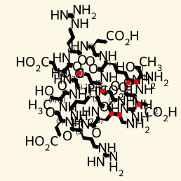 CC(C)[C@H](NC(=O)[C@@H](NC(=O)[C@H](CCC(=O)O)NC(=O)[C@H](CCCNC(=N)N)NC(=O)[C@H](CCCNC(=N)N)NC(=O)[C@H](CCCCN)NC(=O)[C@H](CCCCN)NC(=O)[C@H](CCC(=O)O)NC(=O)[C@@H](N)[C@@H](C)O)[C@@H](C)O)C(=O)N[C@@H](CCC(=O)O)C(=O)N[C@@H](CCCNC(=N)N)C(=O)N[C@@H](CCC(=O)O)C(=O)N[C@@H](CCCCN)C(=O)N[C@@H](CCC(=O)O)C(=O)O